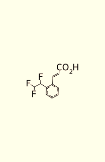 O=C(O)C=Cc1ccccc1C(F)C(F)F